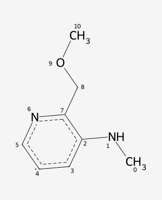 CNc1c[c]cnc1COC